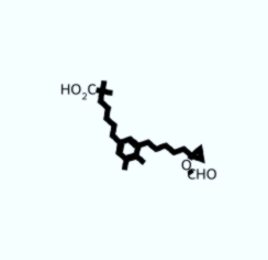 Cc1cc(CCCCCC(C)(C)C(=O)O)cc(CCCCCC2(OC=O)CC2)c1C